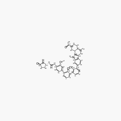 COc1nc(-c2cccc(-c3ccnc(-c4ccc5c(CN(C)C6CCN(C(C)=O)CC6)nn(C)c5c4)c3Cl)c2Cl)ccc1CNC[C@@H]1CCC(=O)N1